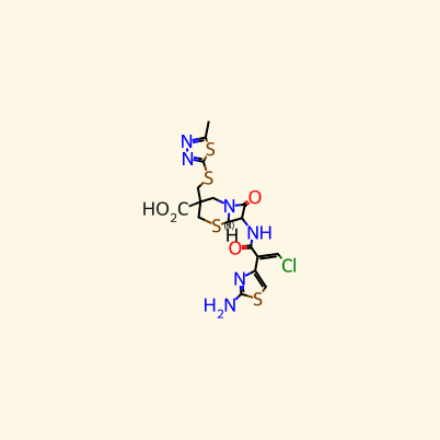 Cc1nnc(SCC2(C(=O)O)CS[C@@H]3C(NC(=O)C(=CCl)c4csc(N)n4)C(=O)N3C2)s1